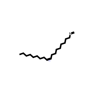 C=NCCCCCCCC/C=C\CCCCCCCC